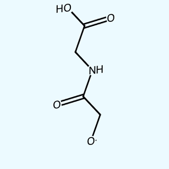 [O]CC(=O)NCC(=O)O